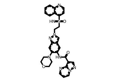 N=S(=O)(CCn1cc2cc(NC(=O)c3cnn4cccnc34)c(N3CCOCC3)cc2n1)c1ccnc2ccccc12